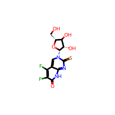 O=c1[nH]c2nc(=S)n([C@@H]3O[C@H](CO)C(O)[C@@H]3O)cc2c(F)c1F